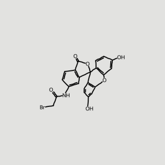 O=C(CBr)Nc1ccc2c(c1)C1(OC2=O)c2ccc(O)cc2Oc2cc(O)ccc21